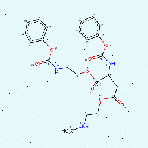 O=C(O)NCCOC(=O)CC(NC(=O)Oc1ccccc1)C(=O)OCCNC(=O)Oc1ccccc1